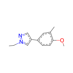 CCn1cc(-c2ccc(OC)c(C)c2)cn1